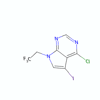 FC(F)(F)Cn1cc(I)c2c(Cl)ncnc21